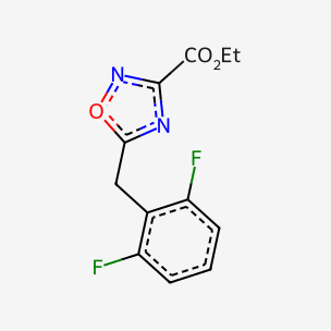 CCOC(=O)c1noc(Cc2c(F)cccc2F)n1